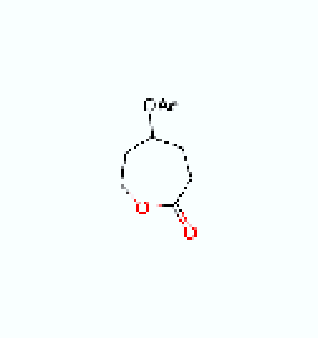 CC(=O)OC1CCOC(=O)CC1